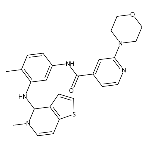 Cc1ccc(NC(=O)c2ccnc(N3CCOCC3)c2)cc1NC1c2ccsc2C=CN1C